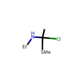 CCNC(C)(Cl)SC